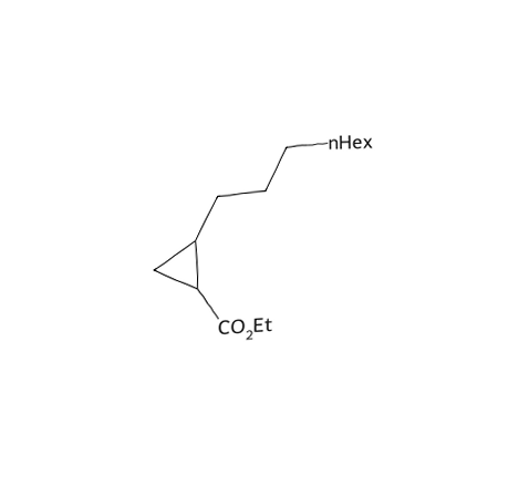 CCCCCCCCCC1CC1C(=O)OCC